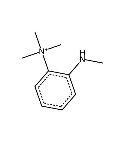 CNc1ccccc1[N+](C)(C)C